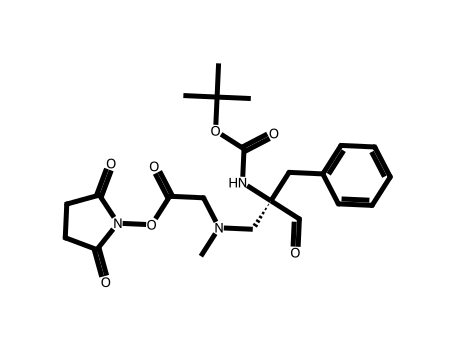 CN(CC(=O)ON1C(=O)CCC1=O)C[C@@](C=O)(Cc1ccccc1)NC(=O)OC(C)(C)C